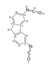 O=C=Nc1ccc2c(c1)-c1cc(N=C=O)ccc1C2